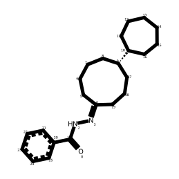 O=C(N/N=C1\CCCC[C@H](C2CCCCCC2)CCC1)c1ccccc1